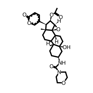 CC(=O)O[C@H]1[C@H]2O[C@]23[C@@H]2CC[C@]4(O)C[C@@H](NC(=O)N5CCOCC5)CC[C@]4(C)[C@H]2CC[C@]3(C)[C@H]1c1ccc(=O)oc1